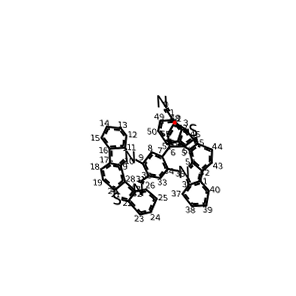 N#Cc1cccc(-c2cc(-n3c4ccccc4c4ccc5sc6ccccc6c5c43)c(C#N)cc2-n2c3ccccc3c3ccc4sc5ccccc5c4c32)c1